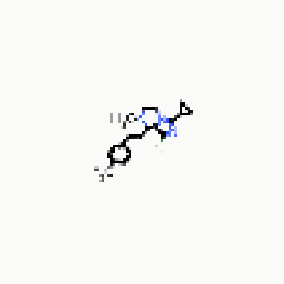 CN1CCn2c(C3CC3)nc(Cl)c2C1CCc1ccc(C(F)(F)F)cc1